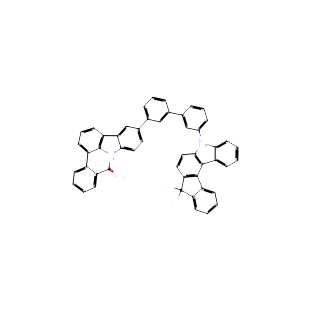 CC1(C)c2ccccc2-c2c1ccc1c2c2ccccc2n1-c1cccc(-c2cccc(-c3ccc4c(c3)c3cccc5c6ccccc6c(=O)n4c53)c2)c1